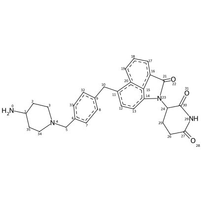 NC1CCN(Cc2ccc(Cc3ccc4c5c(cccc35)C(=O)N4C3CCC(=O)NC3=O)cc2)CC1